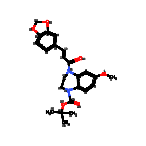 COc1ccc2c(c1)N(C(=O)C=Cc1ccc3c(c1)OCO3)CCN2C(=O)OC(C)(C)C